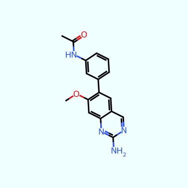 COc1cc2nc(N)ncc2cc1-c1cccc(NC(C)=O)c1